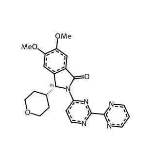 COc1cc2c(cc1OC)[C@@H](C1CCOCC1)N(c1ccnc(-c3ncccn3)n1)C2=O